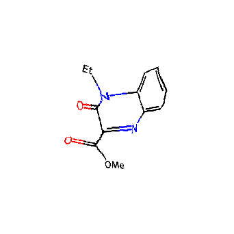 CCn1c(=O)c(C(=O)OC)nc2ccccc21